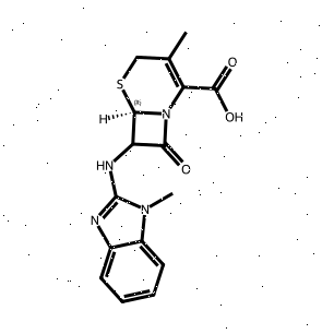 CC1=C(C(=O)O)N2C(=O)C(Nc3nc4ccccc4n3C)[C@H]2SC1